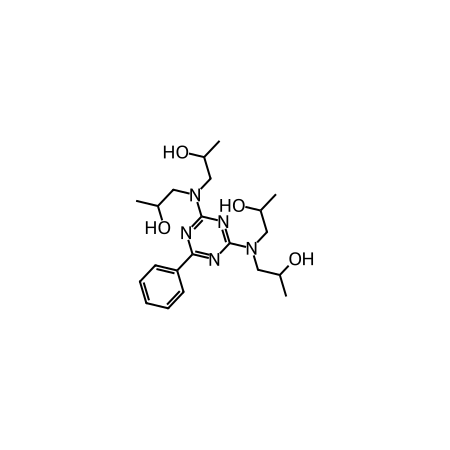 CC(O)CN(CC(C)O)c1nc(-c2ccccc2)nc(N(CC(C)O)CC(C)O)n1